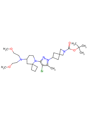 COCCN(CCOC)C1CCN(c2nn(C3CC4(C3)CN(C(=O)OC(C)(C)C)C4)c(C)c2Br)C2(CCC2)C1